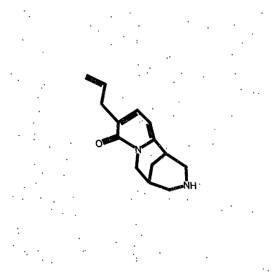 C=CCc1ccc2n(c1=O)CC1CNCC2C1